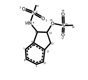 CS(=O)(=O)NC1c2ccccc2CC1OS(C)(=O)=O